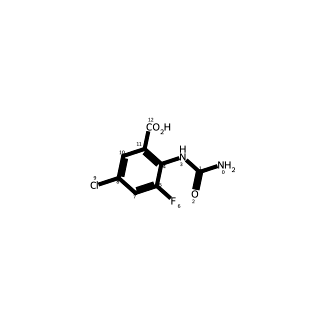 NC(=O)Nc1c(F)cc(Cl)cc1C(=O)O